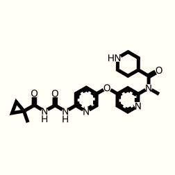 CN(C(=O)C1CCNCC1)c1cc(Oc2ccc(NC(=O)NC(=O)C3(C)CC3)nc2)ccn1